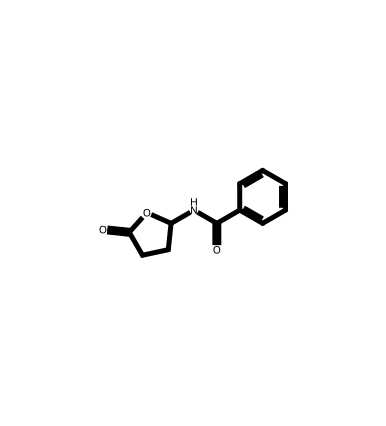 O=C1CCC(NC(=O)c2ccccc2)O1